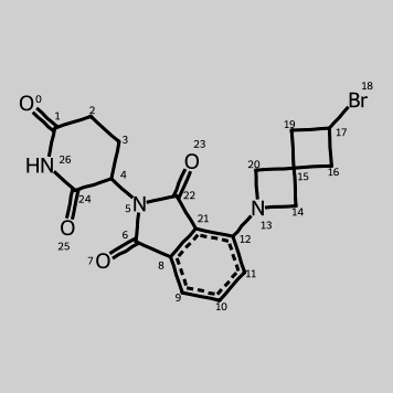 O=C1CCC(N2C(=O)c3cccc(N4CC5(CC(Br)C5)C4)c3C2=O)C(=O)N1